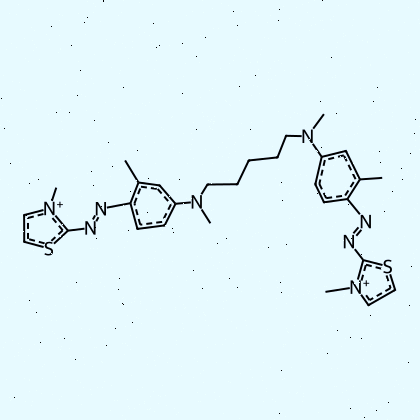 Cc1cc(N(C)CCCCCN(C)c2ccc(N=Nc3scc[n+]3C)c(C)c2)ccc1N=Nc1scc[n+]1C